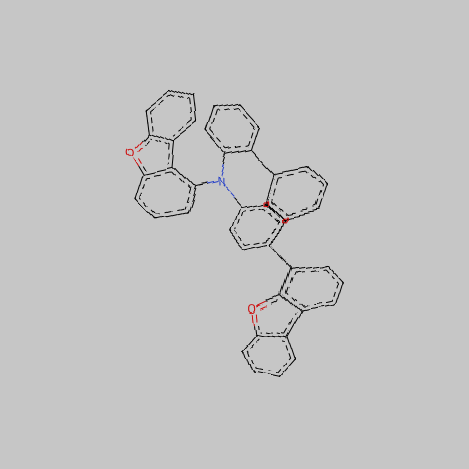 c1ccc(-c2ccccc2N(c2ccc(-c3cccc4c3oc3ccccc34)cc2)c2cccc3oc4ccccc4c23)cc1